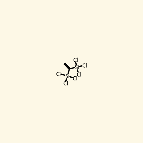 C=C([Si](Cl)(Cl)Cl)[Si](Cl)(Cl)Cl